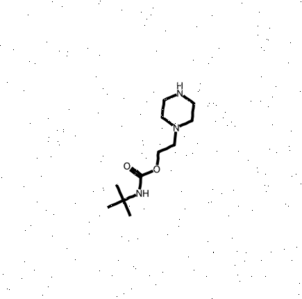 CC(C)(C)NC(=O)OCCN1CCNCC1